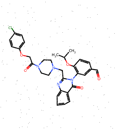 CC(C)Oc1ccc(C=O)cc1-n1c(CN2CCN(C(=O)COc3ccc(Cl)cc3)CC2)nc2ccccc2c1=O